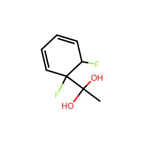 CC(O)(O)C1(F)C=CC=CC1F